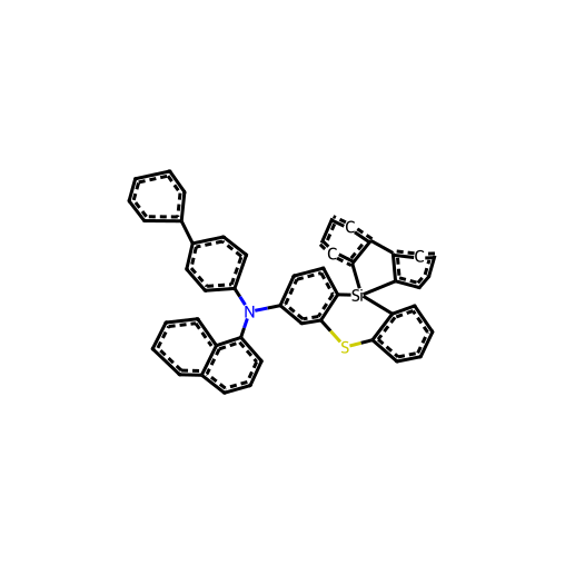 c1ccc(-c2ccc(N(c3ccc4c(c3)Sc3ccccc3[Si]43c4ccccc4-c4ccccc43)c3cccc4ccccc34)cc2)cc1